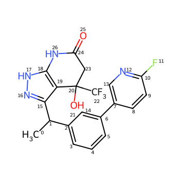 CC(c1cccc(-c2ccc(F)nc2)c1)c1n[nH]c2c1C(O)(C(F)(F)F)CC(=O)N2